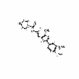 COc1ccc(-c2nc(C[S+]([O-])CC(=O)N3CCNCC3)c(C)o2)cc1OC